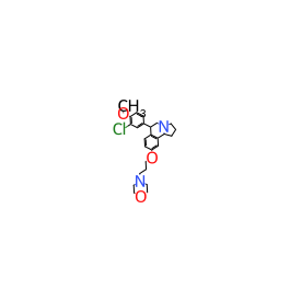 COc1ccc(C2CN3CCCC3c3cc(OCCCN4CCOCC4)ccc32)cc1Cl